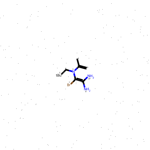 C=C(C)N(CC(C)(C)C)C(Br)=C(N)N